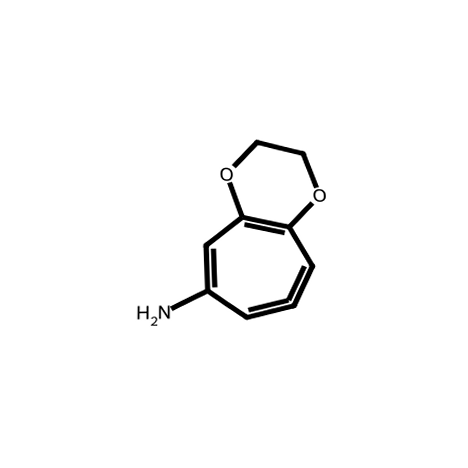 NC1=CC2=C(C=C=C1)OCCO2